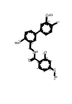 COc1ccc(-c2ccc(F)c(C=O)c2)cc1CNC(=O)c1ccc(OC(C)C)cc1Cl